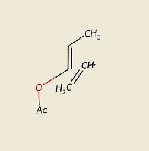 CC=COC(C)=O.[CH]=C